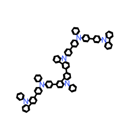 c1ccc(N(c2ccc(-c3ccc(-n4c5ccccc5c5ccccc54)cc3)cc2)c2ccc(-c3ccc(-n4c5ccccc5c5cc(-c6ccc7c(c6)c6cc(-c8ccc(N(c9ccccc9)c9ccc(-c%10ccc%11c%12ccccc%12n(-c%12ccccc%12)c%11c%10)cc9)cc8)ccc6n7-c6ccccc6)ccc54)cc3)cc2)cc1